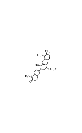 CCOC(=O)C1=CN(c2ccc3c(c2)CCC(=O)N3C)C(O)N(Cc2cccc(C(F)(F)F)c2C)C1=O